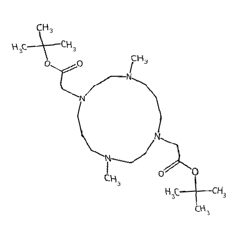 CN1CCCN(CC(=O)OC(C)(C)C)CCN(C)CCCN(CC(=O)OC(C)(C)C)CC1